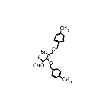 Cc1ccc(COC[C@H](Br)[C@@H](OCc2ccc(C)cc2)[C@H](F)C=O)cc1